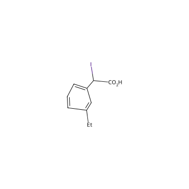 CCc1cccc(C(I)C(=O)O)c1